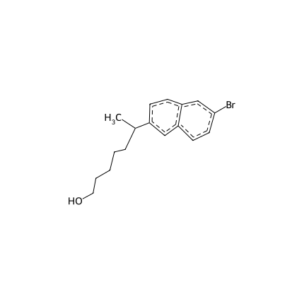 CC(CCCCCO)c1ccc2cc(Br)ccc2c1